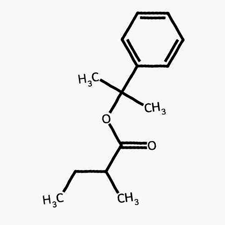 CCC(C)C(=O)OC(C)(C)c1ccccc1